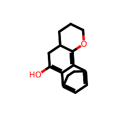 OC1=c2c3ccc(c2=C2OCCCC2C1)CC3